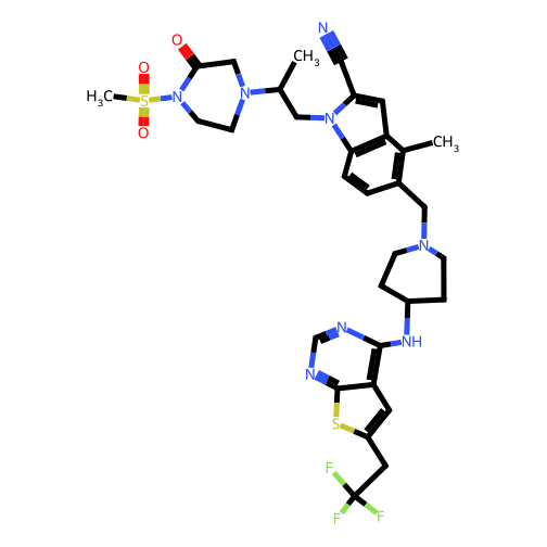 Cc1c(CN2CCC(Nc3ncnc4sc(CC(F)(F)F)cc34)CC2)ccc2c1cc(C#N)n2CC(C)N1CCN(S(C)(=O)=O)C(=O)C1